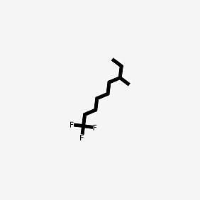 CCC(C)CCCCCC(F)(F)F